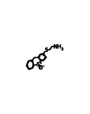 NCCSc1ccc2c(c1)Cc1ccccc1[S+]2[O-]